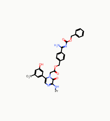 CC(C)Nc1ncc(-c2cc(O)cc([N+](=O)[O-])c2)n(CC(=O)OCc2ccc(/C(N)=N/C(=O)OCc3ccccc3)cc2)c1=O